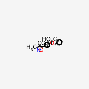 Cc1noc(-c2ccc(OC[C@H]3CCCC[C@@H]3C(=O)O)cc2)c1C(=O)O